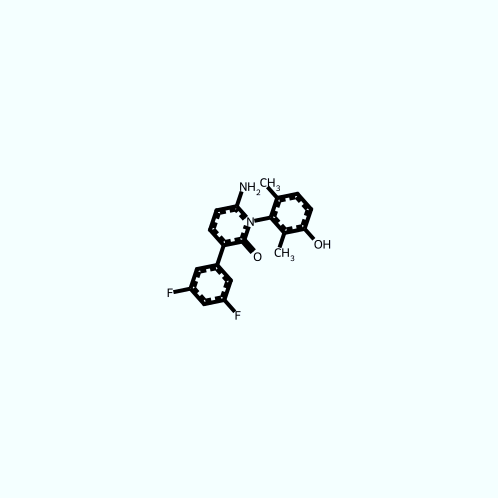 Cc1ccc(O)c(C)c1-n1c(N)ccc(-c2cc(F)cc(F)c2)c1=O